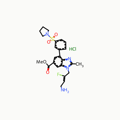 COC(=O)c1cc(-c2cccc(S(=O)(=O)N3CCCC3)c2)c2nc(C)n(CC(F)=CCN)c2c1.Cl